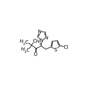 CC(C)(C)C(=O)C(Cc1ccc(Cl)s1)n1cncn1